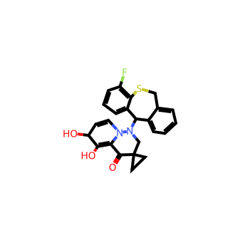 O=C1C2=C(O)C(O)C=CN2N(C2c3ccccc3CSc3c(F)cccc32)CC12CC2